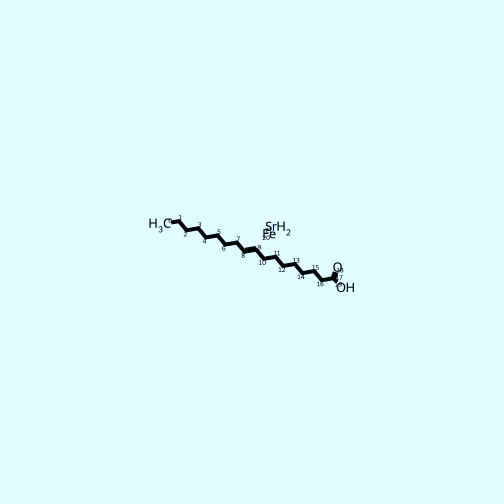 CCCCCCCCC=CCCCCCCCC(=O)O.[Fe].[SrH2]